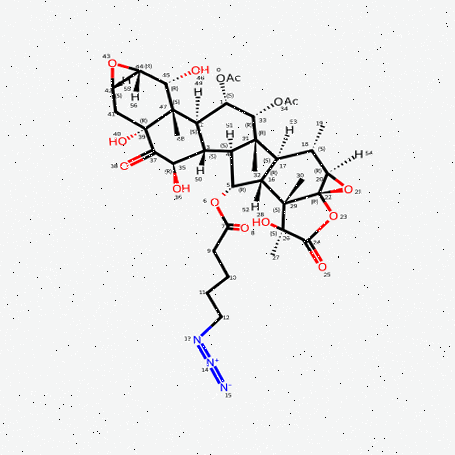 CC(=O)O[C@H]1[C@H]2[C@H]([C@@H]3[C@@H](OC(=O)CCCCN=[N+]=[N-])[C@@H]4[C@H]([C@H](C)[C@H]5O[C@]56OC(=O)[C@@](C)(O)[C@]46C)[C@@]3(C)[C@H]1OC(C)=O)[C@@H](O)C(=O)[C@@]1(O)C[C@@H]3O[C@@H]3[C@H](O)[C@]21C